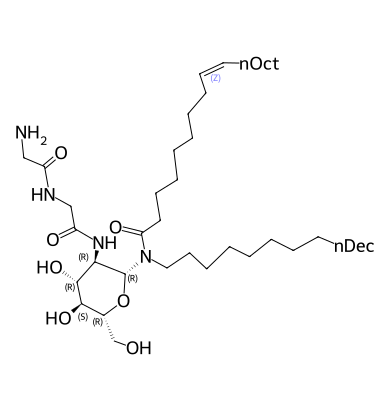 CCCCCCCC/C=C\CCCCCCCC(=O)N(CCCCCCCCCCCCCCCCCC)[C@@H]1O[C@H](CO)[C@@H](O)[C@H](O)[C@H]1NC(=O)CNC(=O)CN